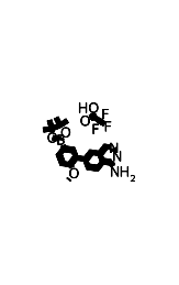 COc1ccc(B2OC(C)(C)C(C)(C)O2)cc1-c1ccc2c(N)nncc2c1.O=C(O)C(F)(F)F